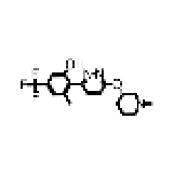 Cc1cc(C(F)(F)F)cc(O)c1-c1ccc(O[C@H]2CCCN(C)C2)nn1